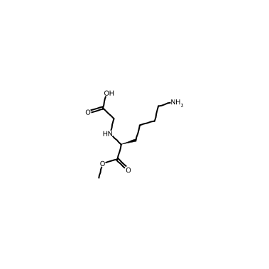 COC(=O)[C@H](CCCCN)NCC(=O)O